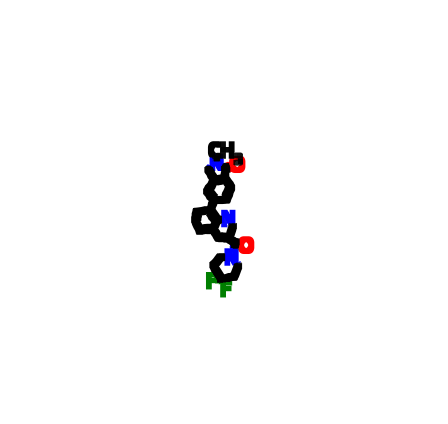 CN1Cc2cc(-c3cccc4cc(C(=O)N5CCC(F)(F)CC5)cnc34)ccc2C1=O